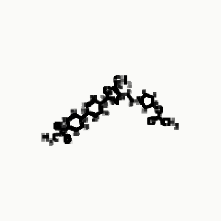 CC(=O)O[C@@H]1CCN(CCc2nc(-c3ccc(-c4ccc(S(C)(=O)=O)cc4)cc3)oc2C)C1